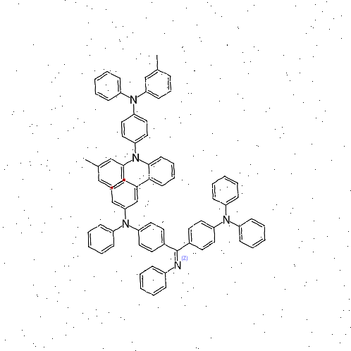 Cc1cccc(N(c2ccccc2)c2ccc(N(c3cccc(C)c3)c3ccccc3-c3cccc(N(c4ccccc4)c4ccc(/C(=N\c5ccccc5)c5ccc(N(c6ccccc6)c6ccccc6)cc5)cc4)c3)cc2)c1